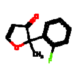 CC1(c2ccccc2F)OC=CC1=O